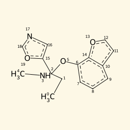 CCC(NC)(Oc1cccc2ccoc12)c1cnco1